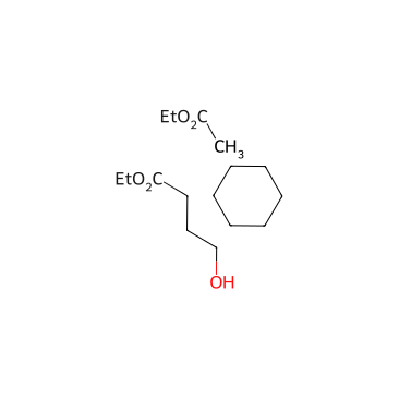 C1CCCCC1.CCOC(=O)CCCO.CCOC(C)=O